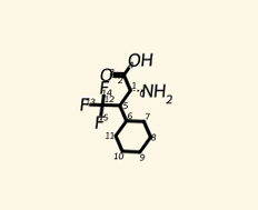 N[C@@H](C(=O)O)C(C1CCCCC1)C(F)(F)F